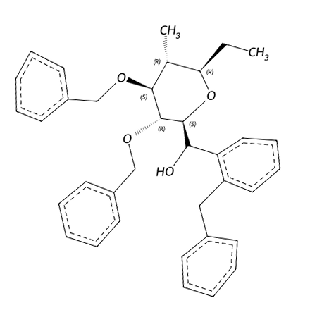 CC[C@H]1O[C@@H](C(O)c2ccccc2Cc2ccccc2)[C@H](OCc2ccccc2)[C@@H](OCc2ccccc2)[C@@H]1C